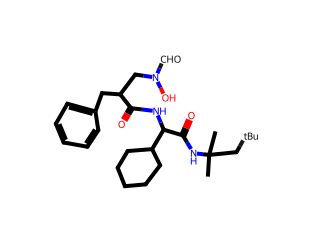 CC(C)(C)CC(C)(C)NC(=O)C(NC(=O)C(Cc1ccccc1)CN(O)C=O)C1CCCCC1